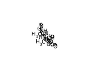 CC(C)CN(C(O)(CCNC(=O)CC(C)(C)CNC(=O)CN1CCCC1)Cc1ccccc1)S(=O)(=O)c1ccc2c(c1)CCO2